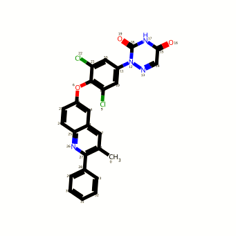 Cc1cc2cc(Oc3c(Cl)cc(-n4ncc(=O)[nH]c4=O)cc3Cl)ccc2nc1-c1ccccc1